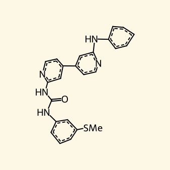 CSc1cccc(NC(=O)Nc2cc(-c3ccnc(Nc4ccccc4)c3)ccn2)c1